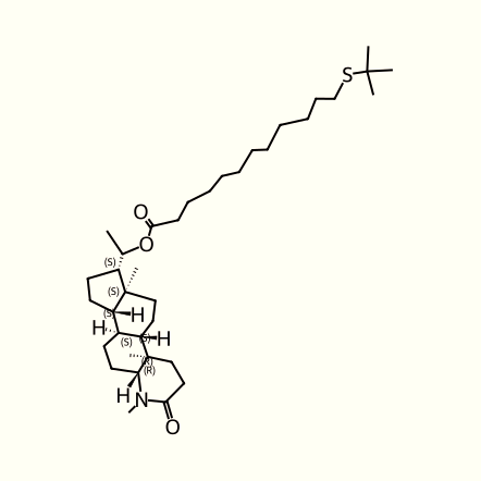 CC(OC(=O)CCCCCCCCCCCSC(C)(C)C)[C@H]1CC[C@H]2[C@@H]3CC[C@H]4N(C)C(=O)CC[C@]4(C)[C@H]3CC[C@]12C